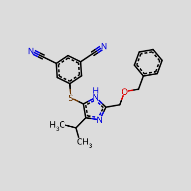 CC(C)c1nc(COCc2ccccc2)[nH]c1Sc1cc(C#N)cc(C#N)c1